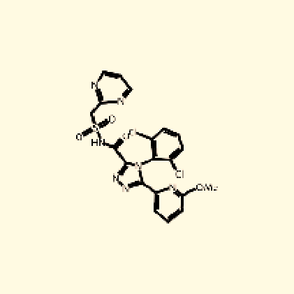 COc1cccc(-c2nnc(C(=O)NS(=O)(=O)Cc3ncccn3)n2-c2c(Cl)cccc2Cl)n1